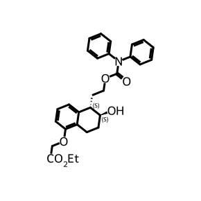 CCOC(=O)COc1cccc2c1CC[C@H](O)[C@H]2CCOC(=O)N(c1ccccc1)c1ccccc1